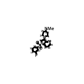 CNC1CCN(c2cn(S(=O)(=O)c3cccc(F)c3)c3cccnc23)CC1